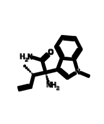 C=C[C@H](C)[C@@](N)(C(N)=O)c1cn(C)c2ccccc12